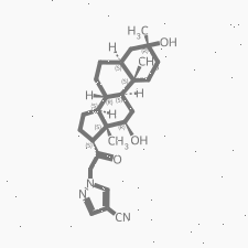 C[C@@]1(O)CC[C@@]2(C)[C@@H](CC[C@@H]3[C@@H]2C[C@@H](O)[C@]2(C)[C@@H](C(=O)Cn4cc(C#N)cn4)CC[C@@H]32)C1